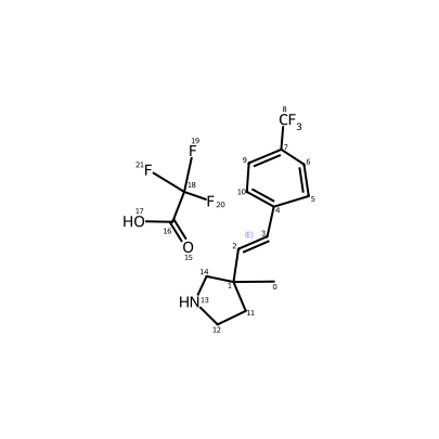 CC1(/C=C/c2ccc(C(F)(F)F)cc2)CCNC1.O=C(O)C(F)(F)F